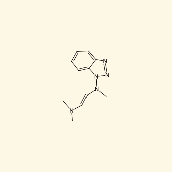 CN(C)C=CN(C)n1nnc2ccccc21